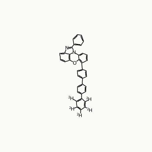 [2H]c1c([2H])c([2H])c(-c2ccc(-c3ccc(-c4cccc5c4Oc4cccc6nc(-c7ccccc7)n-5c46)cc3)cc2)c([2H])c1[2H]